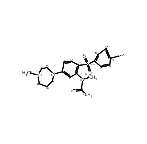 CC(=O)N(C)c1cc(N2CCCN(C)CC2)ccc1S(=O)(=O)c1ccc(F)cc1